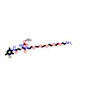 Cc1cc(C)c(NC(=O)CC[C@H](NC(=O)OC(C)(C)C)C(=O)NCCOCCOCCOCCOCCOCCN)c(C)c1Br